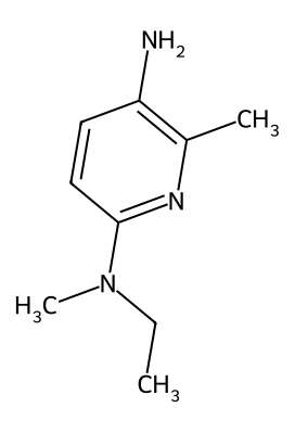 CCN(C)c1ccc(N)c(C)n1